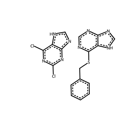 Clc1nc(Cl)c2[nH]cnc2n1.c1ccc(CSc2ncnc3nc[nH]c23)cc1